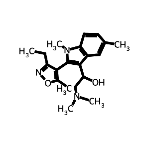 CCc1noc(C)c1-c1c(C(O)CN(C)C)c2cc(C)ccc2n1C